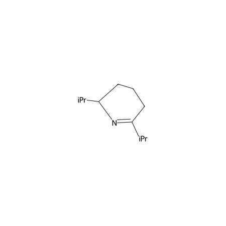 CC(C)C1=NC(C(C)C)CCC1